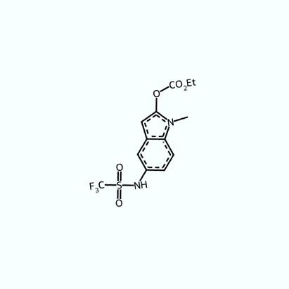 CCOC(=O)Oc1cc2cc(NS(=O)(=O)C(F)(F)F)ccc2n1C